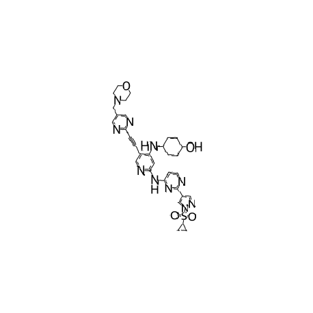 O=S(=O)(C1CC1)n1cc(-c2nccc(Nc3cc(NC4CCC(O)CC4)c(C#Cc4ncc(CN5CCOCC5)cn4)cn3)n2)cn1